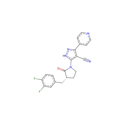 N#Cc1c(-c2ccncc2)n[nH]c1N1CC[C@H](Cc2ccc(F)c(F)c2)C1=O